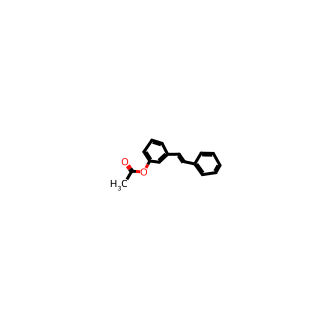 CC(=O)Oc1cccc(C=Cc2ccccc2)c1